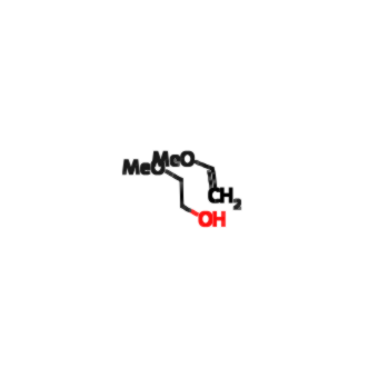 C=COC.COCCO